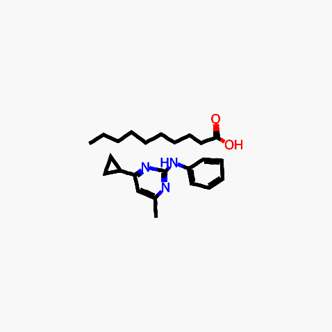 CCCCCCCCCC(=O)O.Cc1cc(C2CC2)nc(Nc2ccccc2)n1